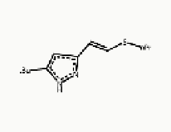 CCCSC=Cc1cc(C(C)(C)C)[nH]n1